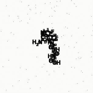 Cn1ncc2cc(F)c(-c3cccc4c3c(CCCN)nn4CC(=O)NCC(=O)NCC(=O)O)cc21